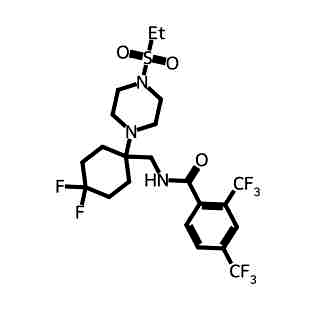 CCS(=O)(=O)N1CCN(C2(CNC(=O)c3ccc(C(F)(F)F)cc3C(F)(F)F)CCC(F)(F)CC2)CC1